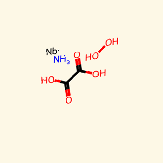 N.O=C(O)C(=O)O.OO.[Nb]